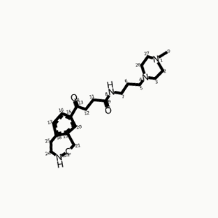 CN1CCN(CCCNC(=O)CCC(=O)c2ccc3c(c2)CCNCC3)CC1